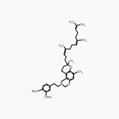 COc1ccc(CCN2COc3cc(C)c4c(c3C2)CCC(C)(CCC=C(C)CCC=C(C)CCC=C(C)C)O4)cc1OC